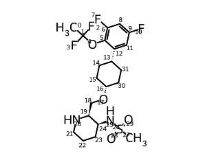 CC(F)(F)Oc1c(F)cc(F)cc1[C@H]1CC[C@@H](OC[C@@H]2NCCC[C@@H]2NS(C)(=O)=O)CC1